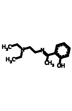 CCN(CC)CC/N=C(\C)c1ccccc1O